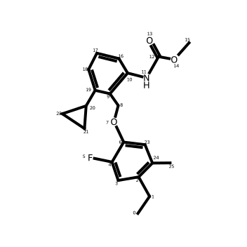 CCc1cc(F)c(OCc2c(NC(=O)OC)cccc2C2CC2)cc1C